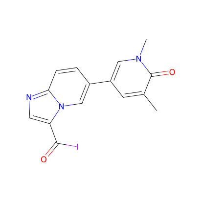 Cc1cc(-c2ccc3ncc(C(=O)I)n3c2)cn(C)c1=O